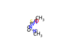 Cc1cc(-c2nc(-c3ccc4cccc(CCN5CCC[C@H]5C)c4n3)cs2)no1